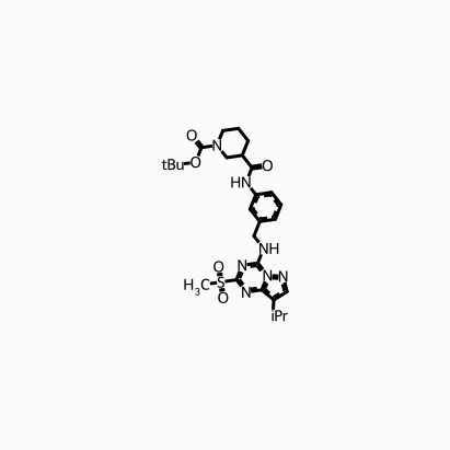 CC(C)c1cnn2c(NCc3cccc(NC(=O)C4CCCN(C(=O)OC(C)(C)C)C4)c3)nc(S(C)(=O)=O)nc12